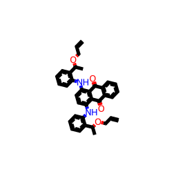 C=CCOC(C)c1ccccc1Nc1ccc(Nc2ccccc2C(C)OCC=C)c2c1C(=O)c1ccccc1C2=O